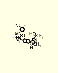 Cn1cnc(C2CC3CC(O)(c4cc(C(O)C(F)(F)F)nn4C)CC3C2)c1C(=O)Nc1ccc(F)c(C#N)c1